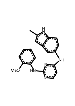 COc1ccccc1Nc1nccc(Nc2ccc3[nH]c(C)cc3c2)n1